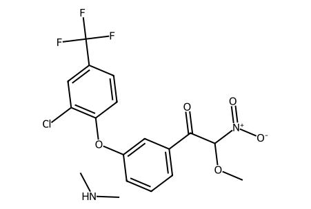 CNC.COC(C(=O)c1cccc(Oc2ccc(C(F)(F)F)cc2Cl)c1)[N+](=O)[O-]